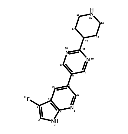 Fc1c[nH]c2ncc(-c3cnc(C4CCNCC4)nc3)cc12